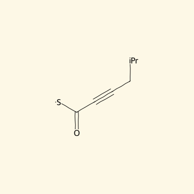 CC(C)CC#CC(=O)[S]